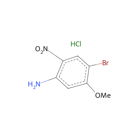 COc1cc(N)c([N+](=O)[O-])cc1Br.Cl